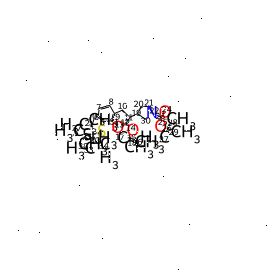 CC(C)[Si](Sc1cccc(C[C@H](C(=O)OC(C)(C)C)[C@H]2CCN(C(=O)OC(C)(C)C)C2)c1)(C(C)C)C(C)C